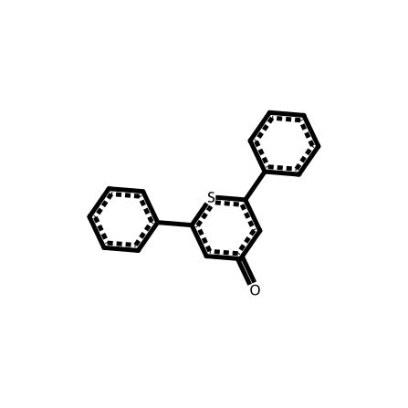 O=c1cc(-c2ccccc2)sc(-c2ccccc2)c1